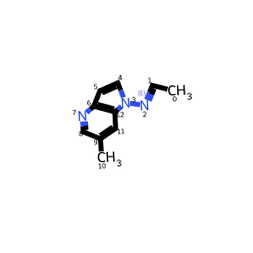 C/C=N/n1ccc2ncc(C)cc21